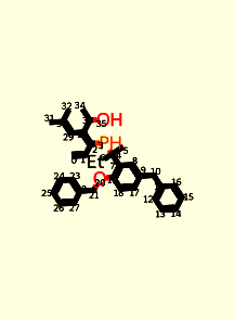 C=C/C(PC(C)(CC)c1cc(Cc2ccccc2)ccc1OCc1ccccc1)=C(\C=C(C)C)C(C)O